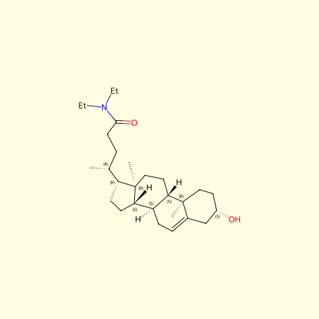 CCN(CC)C(=O)CC[C@@H](C)[C@H]1CC[C@H]2[C@@H]3CC=C4C[C@@H](O)CC[C@]4(C)[C@H]3CC[C@]12C